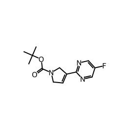 CC(C)(C)OC(=O)N1CC=C(c2ncc(F)cn2)C1